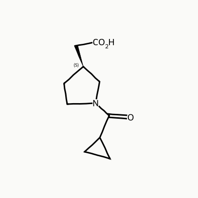 O=C(O)C[C@@H]1CCN(C(=O)C2CC2)C1